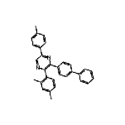 Cc1ccc(-c2cnc(-c3ccc(C)cc3C)c(-c3ccc(-c4ccccc4)cc3)n2)cc1